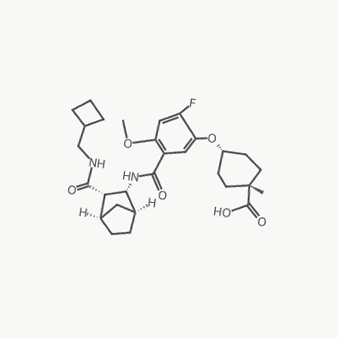 COc1cc(F)c(O[C@H]2CC[C@@](C)(C(=O)O)CC2)cc1C(=O)N[C@@H]1[C@H]2CC[C@H](C2)[C@@H]1C(=O)NCC1CCC1